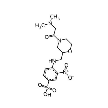 CN(C)CC(=O)N1CCOC(CNc2ccc(S(=O)(=O)O)cc2[N+](=O)[O-])C1